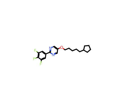 Fc1cc(-c2ncc(OCCCCCC3CCCC3)cn2)cc(F)c1F